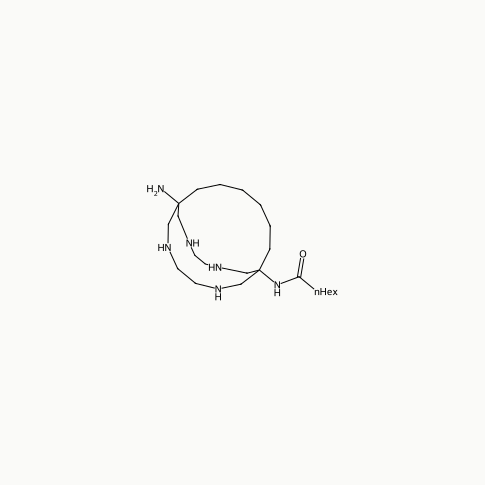 CCCCCCC(=O)NC12CCCCCCC(N)(CNCCNC1)CNCCNC2